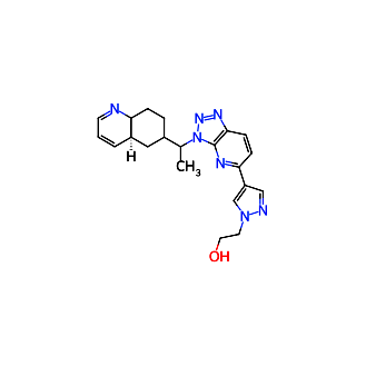 CC(C1CCC2N=CC=C[C@@H]2C1)n1nnc2ccc(-c3cnn(CCO)c3)nc21